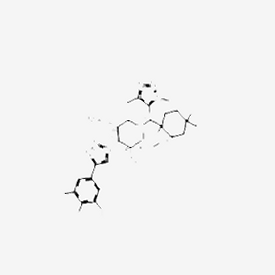 CCn1nnc(C)c1[C@H]([SH]1C[C@H](OC)[C@@H](n2cc(-c3cc(F)c(F)c(F)c3)nn2)[C@@H](O)[C@H]1CO)C1(O)CCC(F)(F)CC1